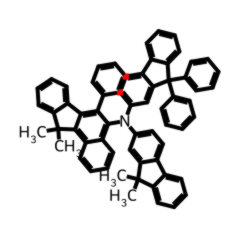 CC1(C)c2ccccc2-c2ccc(N(c3ccc4c(c3)C(c3ccccc3)(c3ccccc3)c3ccccc3-4)c3c(-c4ccccc4)c4c(c5ccccc35)C(C)(C)c3ccccc3-4)cc21